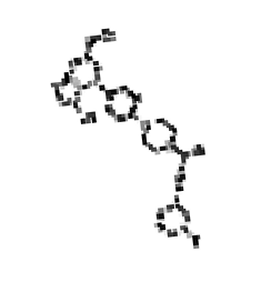 CCOc1cc(-c2ccc(N3CCN(C(=O)C#Cc4cccc(F)c4)CC3)nc2)c2c(C#N)cnn2c1